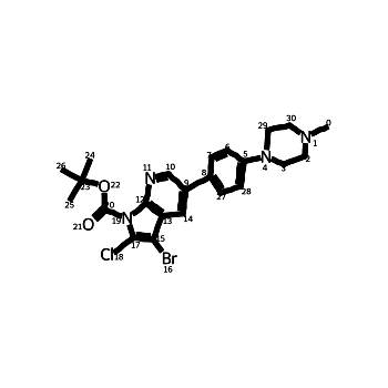 CN1CCN(c2ccc(-c3cnc4c(c3)c(Br)c(Cl)n4C(=O)OC(C)(C)C)cc2)CC1